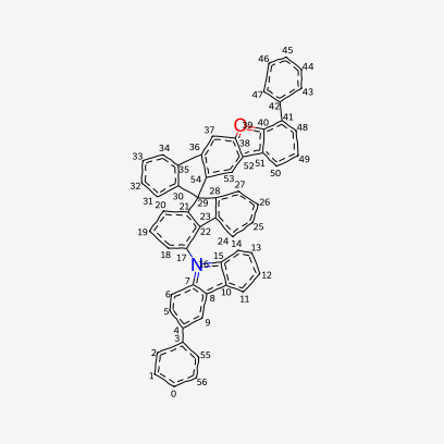 c1ccc(-c2ccc3c(c2)c2ccccc2n3-c2cccc3c2-c2ccccc2C32c3ccccc3-c3cc4oc5c(-c6ccccc6)cccc5c4cc32)cc1